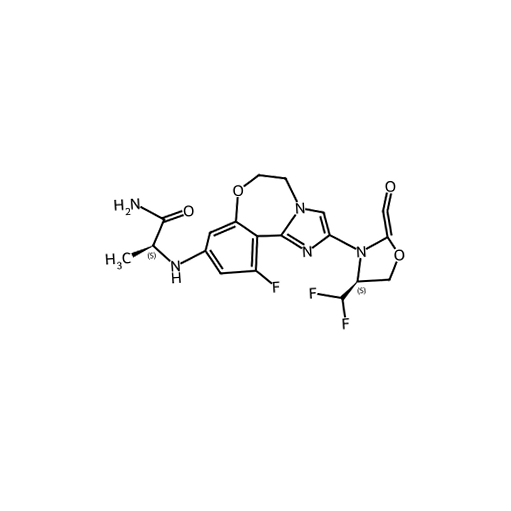 C[C@H](Nc1cc(F)c2c(c1)OCCn1cc(N3C(=C=O)OC[C@H]3C(F)F)nc1-2)C(N)=O